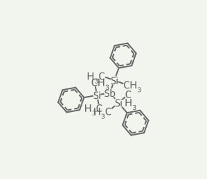 C[Si](C)(c1ccccc1)[Sb]([Si](C)(C)c1ccccc1)[Si](C)(C)c1ccccc1